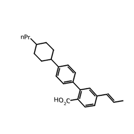 CC=Cc1ccc(C(=O)O)c(-c2ccc(C3CCC(CCC)CC3)cc2)c1